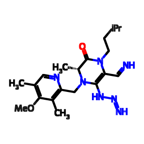 COc1c(C)cnc(CN2C(NN=N)=C(C=N)N(CCC(C)C)C(=O)[C@H]2C)c1C